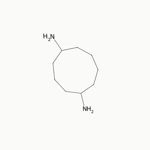 NC1CCCCC(N)CCC1